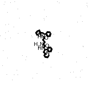 NC(CCC(=O)NC(Cc1ccccn1)c1ccccc1)C(=O)NC(Cc1ccccn1)c1ccccc1